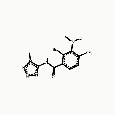 Cn1nnnc1NC(=O)c1ccc(C(F)(F)F)c([S+](C)[O-])c1Br